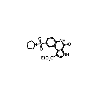 CCOC(=O)c1c[nH]c2c(=O)[nH]c3ccc(S(=O)(=O)N4CCCC4)cc3c12